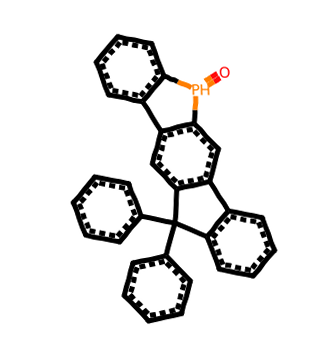 O=[PH]1c2ccccc2-c2cc3c(cc21)-c1ccccc1C3(c1ccccc1)c1ccccc1